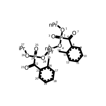 CCCOP(=O)(OCCC)C(=O)c1ccccc1C.Cc1ccccc1C(=O)P(=O)(OC(C)C)OC(C)C